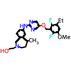 CCc1cc(OC)c(F)c(COc2cnc(Nc3ccc4c(c3)=C(C)CCN(CCO)C=4)nc2)c1F